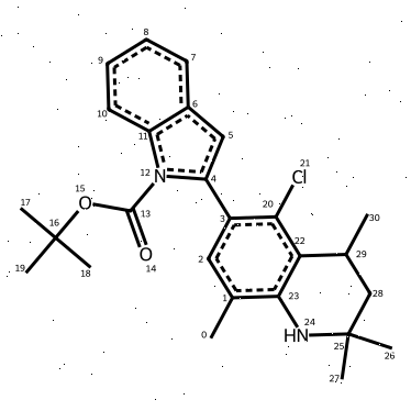 Cc1cc(-c2cc3ccccc3n2C(=O)OC(C)(C)C)c(Cl)c2c1NC(C)(C)CC2C